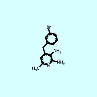 Cc1cc(Cc2cccc(Br)c2)c(N)c(N)n1